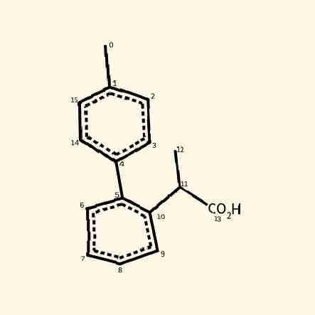 Cc1ccc(-c2ccccc2C(C)C(=O)O)cc1